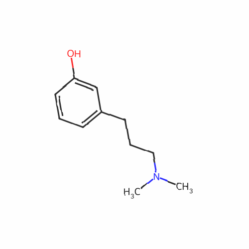 CN(C)CCCc1cccc(O)c1